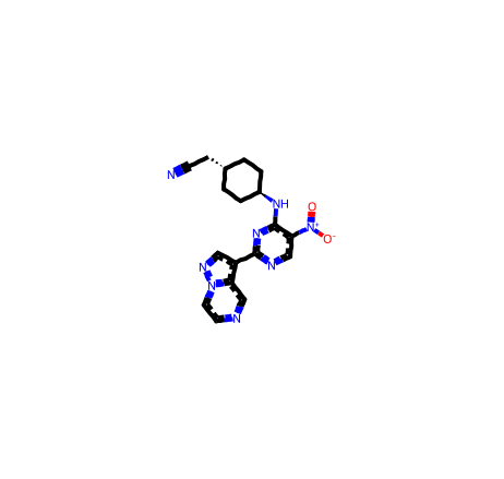 N#CC[C@H]1CC[C@H](Nc2nc(-c3cnn4ccncc34)ncc2[N+](=O)[O-])CC1